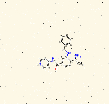 CC(N)c1ccc(C(=O)Nc2ccncc2)cc1NCc1ccccc1